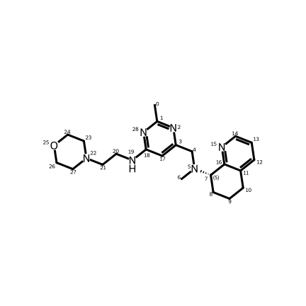 Cc1nc(CN(C)[C@H]2CCCc3cccnc32)cc(NCCN2CCOCC2)n1